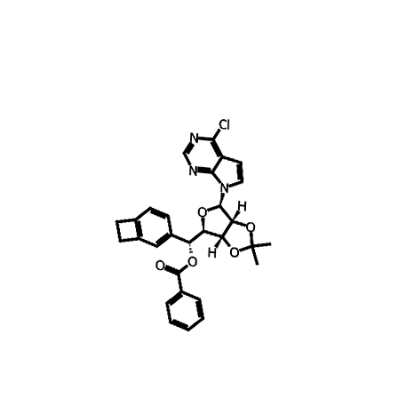 CC1(C)O[C@H]2[C@@H](O1)[C@H](n1ccc3c(Cl)ncnc31)O[C@@H]2[C@H](OC(=O)c1ccccc1)c1ccc2c(c1)CC2